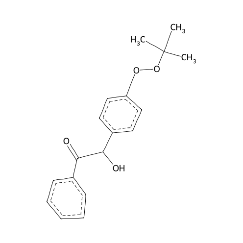 CC(C)(C)OOc1ccc(C(O)C(=O)c2ccccc2)cc1